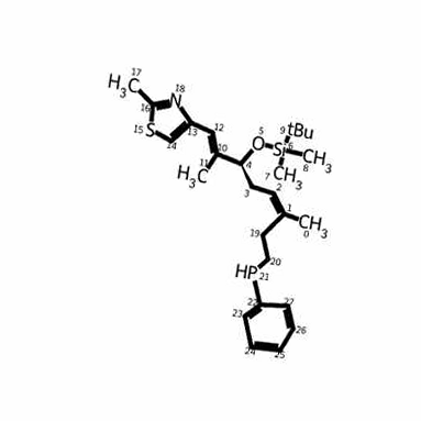 C/C(=C/C[C@H](O[Si](C)(C)C(C)(C)C)/C(C)=C/c1csc(C)n1)CCPc1ccccc1